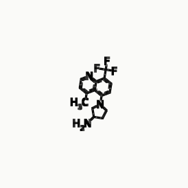 Cc1ccnc2c(C(F)(F)F)ccc(N3CCC(N)C3)c12